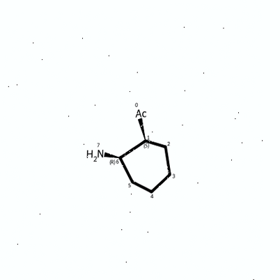 CC(=O)[C@H]1CCCC[C@H]1N